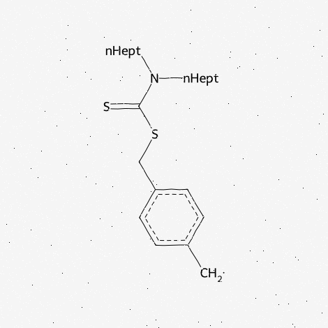 [CH2]c1ccc(CSC(=S)N(CCCCCCC)CCCCCCC)cc1